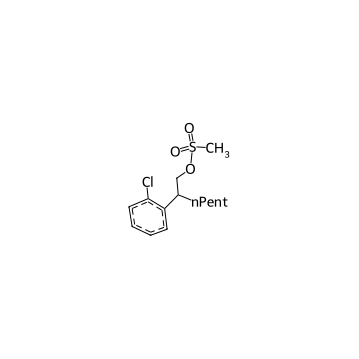 CCCCCC(COS(C)(=O)=O)c1ccccc1Cl